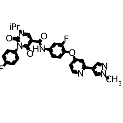 CC(C)n1cc(C(=O)Nc2ccc(Oc3ccnc(-c4cnn(C)c4)c3)c(F)c2)c(=O)n(-c2ccc(F)cc2)c1=O